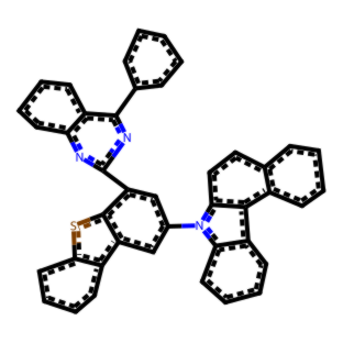 c1ccc(-c2nc(-c3cc(-n4c5ccccc5c5c6ccccc6ccc54)cc4c3sc3ccccc34)nc3ccccc23)cc1